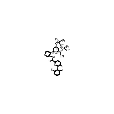 CC(C)[Si](O[C@@H]1[C@@H](CC#N)O[C@@H](c2ccncc2NC(=O)c2ccc(F)c(-c3c(F)cccc3F)n2)C[C@H]1O[Si](C(C)C)(C(C)C)C(C)C)(C(C)C)C(C)C